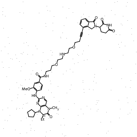 CC[C@@H]1C(=O)N(C)c2cnc(Nc3ccc(C(=O)NCCCOCCNCCOCCC#Cc4cccc5c4CN(C4CCC(=O)NC4=O)C5=O)cc3OC)nc2N1C1CCCC1